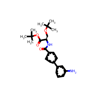 CC(C)(C)OC[C@@H](NC(=O)c1ccc(-c2cccc(N)c2)cc1)C(=O)OC(C)(C)C